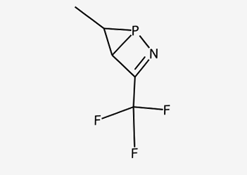 CC1C2C(C(F)(F)F)=NP12